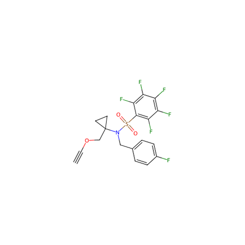 C#COCC1(N(Cc2ccc(F)cc2)S(=O)(=O)c2c(F)c(F)c(F)c(F)c2F)CC1